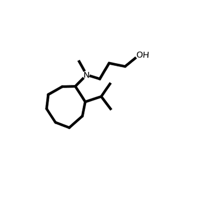 CC(C)C1CCCCCCC1N(C)CCCO